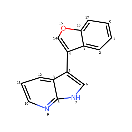 c1ccc2c(-c3c[nH]c4ncccc34)coc2c1